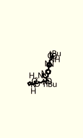 CCCCN(CCCOC(=O)NC1CCC1)C(=O)C1=Cc2ccc(-c3cnc(CNC(=O)OC(C)(C)C)nc3)cc2N=C(N)C1